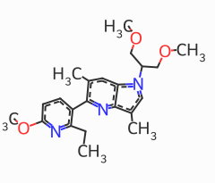 CCc1nc(OC)ccc1-c1nc2c(C)cn(C(COC)COC)c2cc1C